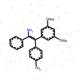 COc1cc(OC)cc(C(=C(N)c2ccccc2)c2ccc(C)cc2)c1